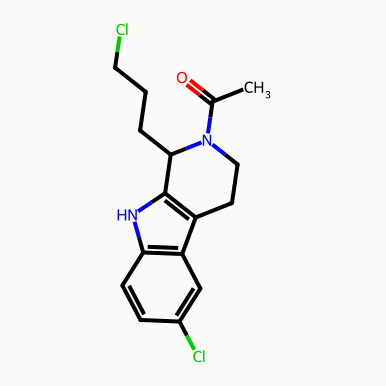 CC(=O)N1CCc2c([nH]c3ccc(Cl)cc23)C1CCCCl